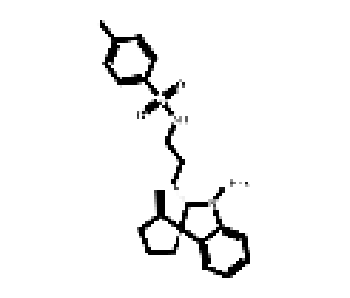 C=C1CCC[C@@]12c1ccccc1N(CCCCCC)[C@H]2CCCNS(=O)(=O)c1ccc(C)cc1